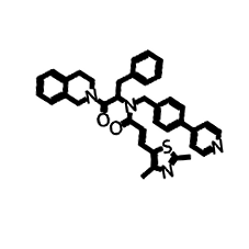 Cc1nc(C)c(C=CC(=O)N(Cc2ccc(-c3ccncc3)cc2)C(Cc2ccccc2)C(=O)N2CCc3ccccc3C2)s1